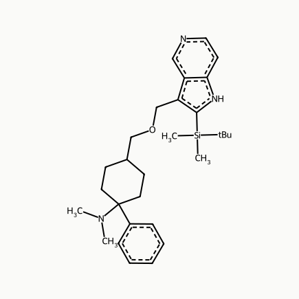 CN(C)C1(c2ccccc2)CCC(COCc2c([Si](C)(C)C(C)(C)C)[nH]c3ccncc23)CC1